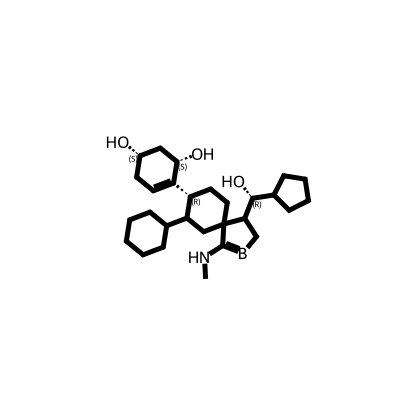 CNC1=BCC([C@H](O)C2CCCC2)C12CC[C@@H](C1=CC[C@H](O)C[C@@H]1O)C(C1CCCCC1)C2